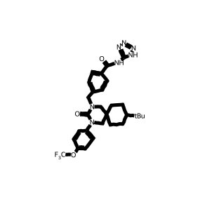 CC(C)(C)C1CCC2(CC1)CN(Cc1ccc(C(=O)Nc3nnn[nH]3)cc1)C(=O)N(c1ccc(OC(F)(F)F)cc1)C2